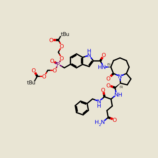 CC(C)(C)C(=O)OCOP(=O)(Cc1ccc2[nH]c(C(=O)N[C@H]3CCCCC4CC[C@@H](C(=O)NC(CCC(N)=O)C(=O)NCc5ccccc5)N4C3=O)cc2c1)OCOC(=O)C(C)(C)C